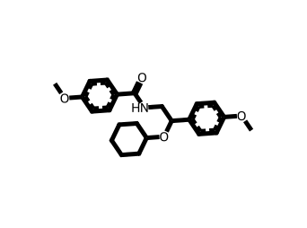 COc1ccc(C(=O)NCC(OC2CCCCC2)c2ccc(OC)cc2)cc1